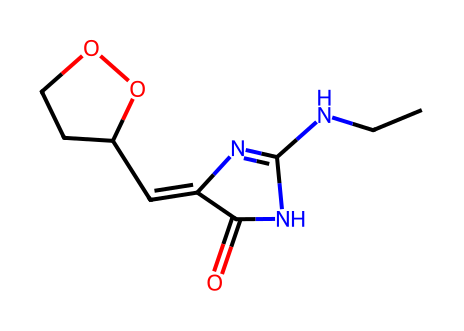 CCNC1=NC(=CC2CCOO2)C(=O)N1